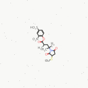 CC(CC(C)(C)N1C(=O)CC(SC(C)(C)C)C1=O)C(=O)Oc1ccc(S(=O)(=O)O)cc1[N+](=O)[O-]